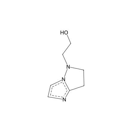 OCCN1CCc2nccn21